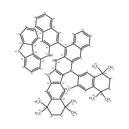 Cc1cc2c(cc1N1c3cc4ccccc4c(-c4cc5ccccc5cc4Nc4cccc5sc6ccccc6c45)c3Bc3oc4cc5c(cc4c31)C(C)(C)CCC5(C)C)C(C)(C)CCC2(C)C